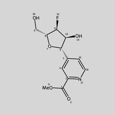 COC(=O)c1cc([C@@H]2O[C@H](CO)[C@@H](F)[C@H]2O)ccn1